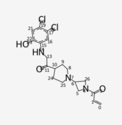 C=CC(=O)N1CC(N2CCC(C(=O)CNc3cc(Cl)c(Cl)cc3O)CC2)C1